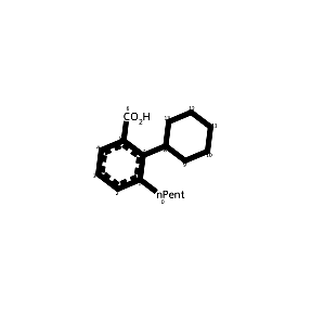 CCCCCc1cccc(C(=O)O)c1C1CCCCC1